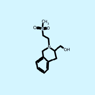 CS(=O)(=O)CCN1Cc2ccccc2CC1CO